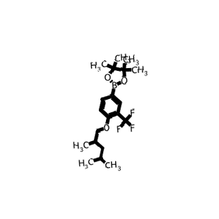 CC(C)CC(C)COc1ccc(B2OC(C)(C)C(C)(C)O2)cc1C(F)(F)F